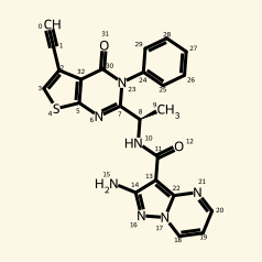 C#Cc1csc2nc([C@@H](C)NC(=O)c3c(N)nn4cccnc34)n(-c3ccccc3)c(=O)c12